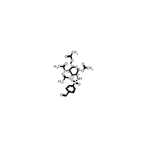 CC(=O)OC[C@@H]1O[C@H](OC(C)=O)[C@@H](NS(=O)(=O)c2ccc(C=O)cc2)[C@H](OC(C)=O)[C@H]1OC(C)=O